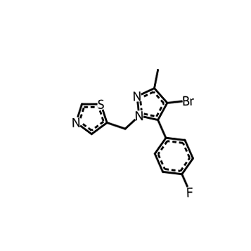 Cc1nn(Cc2cncs2)c(-c2ccc(F)cc2)c1Br